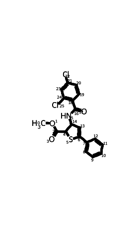 COC(=O)C1SC(c2ccccc2)=CC1NC(=O)c1ccc(Cl)cc1Cl